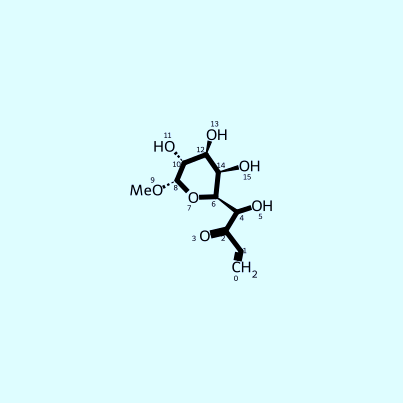 C=CC(=O)C(O)[C@H]1O[C@H](OC)[C@H](O)[C@@H](O)[C@H]1O